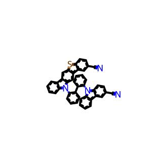 N#Cc1ccc2sc3cc4c5ccccc5n(-c5ccccc5-c5ccccc5-n5c6ccccc6c6cc(C#N)ccc65)c4cc3c2c1